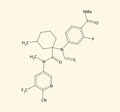 CNC(=O)c1ccc(N(C=S)C2(C(=O)N(C)c3cnc(C#N)c(C(F)(F)F)c3)CCCC(C)C2)cc1F